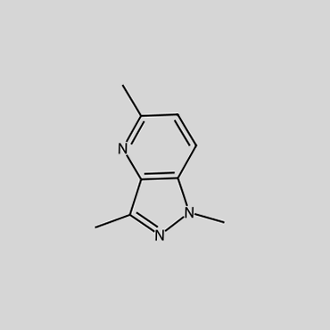 Cc1ccc2c(n1)c(C)nn2C